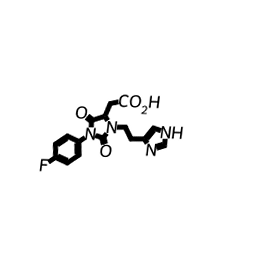 O=C(O)CC1C(=O)N(c2ccc(F)cc2)C(=O)N1CCc1c[nH]cn1